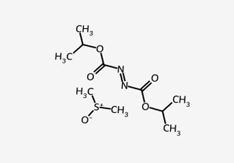 CC(C)OC(=O)N=NC(=O)OC(C)C.C[S+](C)[O-]